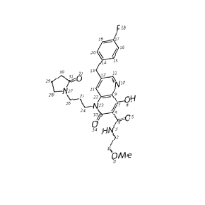 COCCNC(=O)c1c(O)c2ncc(Cc3ccc(F)cc3)cc2n(CCCN2CCCC2=O)c1=O